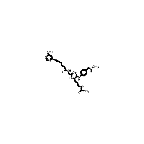 CSc1cc(C#CCCCC(=O)NCC(=O)NC(CCCNC(N)=O)C(=O)Nc2ccc(CNC=O)cc2)ncn1